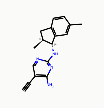 C#Cc1cnc(N[C@H]2c3cc(C)ccc3C[C@@H]2C)nc1N